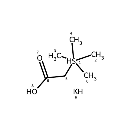 C[SH](C)(C)(C)CC(=O)O.[KH]